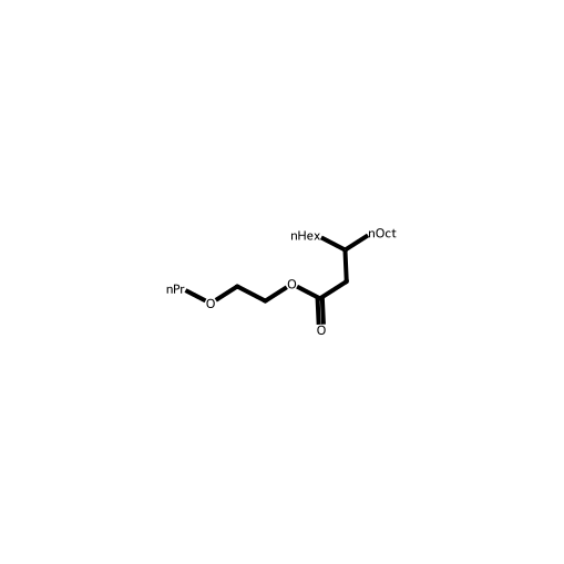 CCCCCCCCC(CCCCCC)CC(=O)OCCOCCC